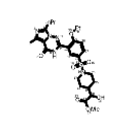 CCCc1nc(C)c2c(=O)[nH]c(-c3cc(S(=O)(=O)N4CCC(C(O)C(=O)OC)CC4)ccc3OCC)nn12